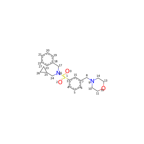 O=S(=O)(c1cccc(CN2CCOCC2)c1)N(Cc1ccccc1)CC1CC1